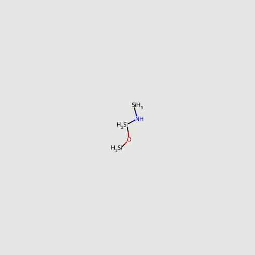 [SiH3]N[SiH2]O[SiH3]